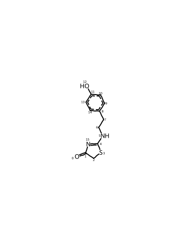 O=C1CSC(NCCc2ccc(O)cc2)=N1